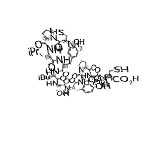 CC[C@H](C)[C@H](NC(=O)[C@H](Cc1ccc(O)cc1)NC(=O)[C@H](CC(C)C)NC(=O)[C@@H]1CCCN1C(=O)[C@@H](N)CS)C(=O)N[C@@H](CO)C(=O)N[C@@H](Cc1ccc(O)cc1)C(=O)N[C@@H](CC(=O)O)C(=O)N1CCC[C@H]1C(=O)N[C@H](C(=O)N[C@@H](CS)C(=O)O)C(C)C